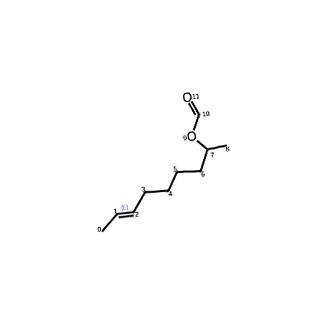 C/C=C/CCCCC(C)O[C]=O